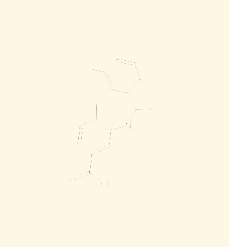 O=C(Cl)c1ccc2c(c1)N=C(Cl)c1cccc(F)c1S2